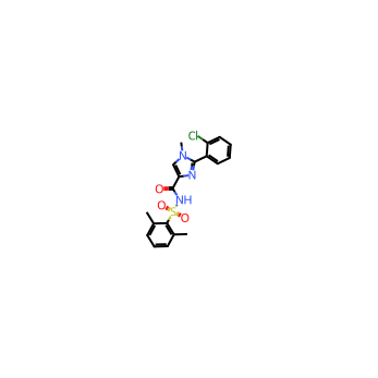 Cc1cccc(C)c1S(=O)(=O)NC(=O)c1cn(C)c(-c2ccccc2Cl)n1